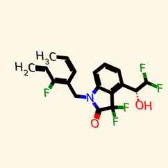 C=C/C(F)=C(\C=C/C)CN1C(=O)C(F)(F)c2c([C@@H](O)C(F)F)cccc21